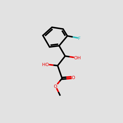 COC(=O)C(O)C(O)c1ccccc1F